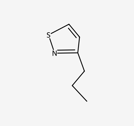 CCCc1ccsn1